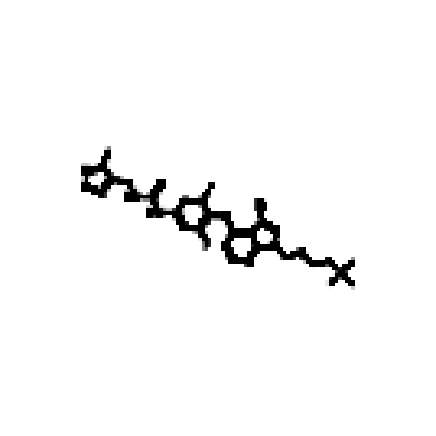 Cc1nonc1CNC(=O)Nc1cc(F)c(Oc2ccnc3c2c(Br)cn3COCC[Si](C)(C)C)c(F)c1